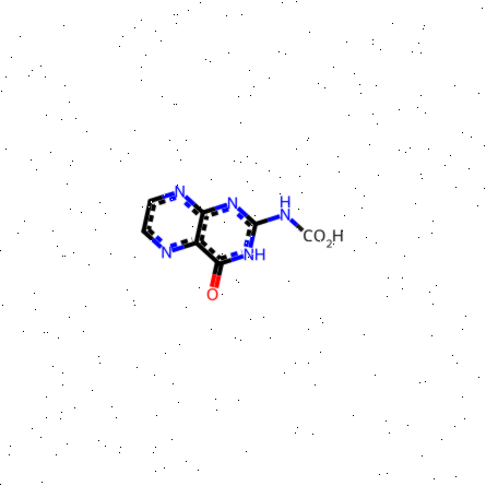 O=C(O)Nc1nc2nccnc2c(=O)[nH]1